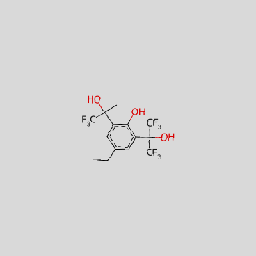 C=Cc1cc(C(C)(O)C(F)(F)F)c(O)c(C(O)(C(F)(F)F)C(F)(F)F)c1